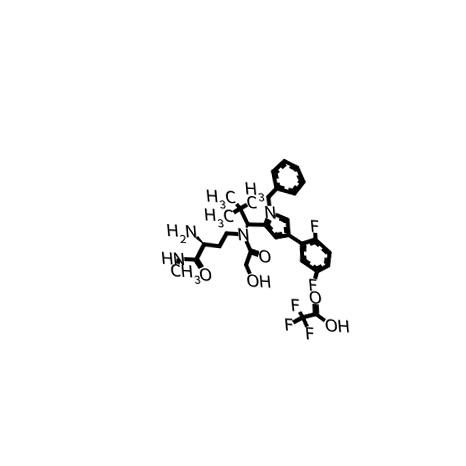 CNC(=O)[C@@H](N)CCN(C(=O)CO)[C@@H](c1cc(-c2cc(F)ccc2F)cn1Cc1ccccc1)C(C)(C)C.O=C(O)C(F)(F)F